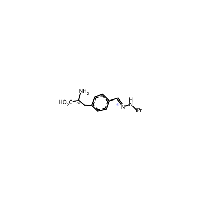 CC(C)N/N=C/c1ccc(C[C@H](N)C(=O)O)cc1